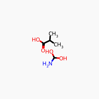 CC(C)C(=O)O.NC(O)O